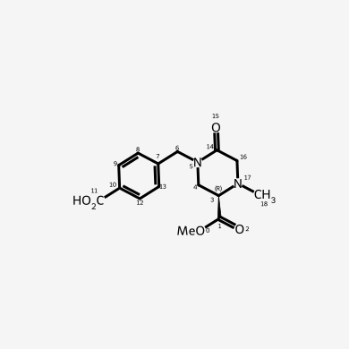 COC(=O)[C@H]1CN(Cc2ccc(C(=O)O)cc2)C(=O)CN1C